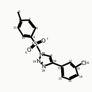 Cc1ccc(S(=O)(=O)n2cc(-c3cccc(Cl)c3)nn2)cc1